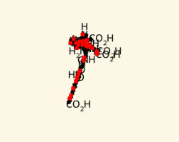 CC(=O)N1CCC[C@H]1C(=O)N1CCC[C@H]1C(=O)N[C@@H](Cc1c[nH]cn1)C(=O)N[C@@H](CCC(=O)O)C(=O)N[C@@H](CCCCN(CC(=O)O)CC(=O)O)C(=O)N[C@@H](CCCCNC(=O)COCCOCCNC(=O)CCCCCCCCCCCCCCCC(=O)O)C(N)=O